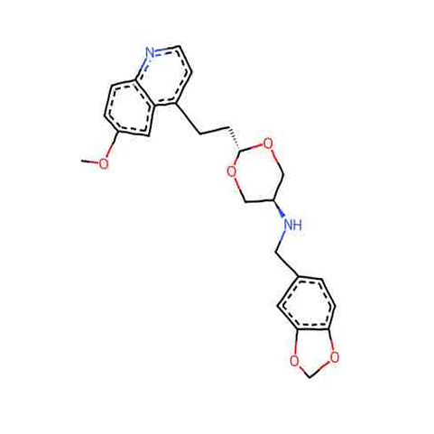 COc1ccc2nccc(CC[C@H]3OC[C@H](NCc4ccc5c(c4)OCO5)CO3)c2c1